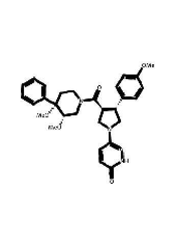 COc1ccc([C@@H]2CN(c3ccc(=O)[nH]n3)C[C@H]2C(=O)N2CC[C@](OC)(c3ccccc3)[C@@H](OC)C2)cc1